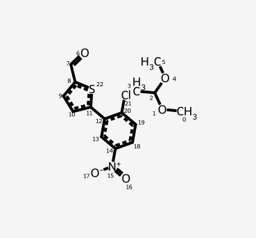 COC(C)OC.O=Cc1ccc(-c2cc([N+](=O)[O-])ccc2Cl)s1